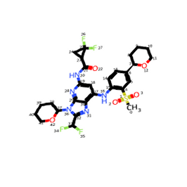 CS(=O)(=O)c1cc([C@H]2CCCCO2)ccc1Nc1cc(NC(=O)C2CC2(F)F)nc2c1nc(C(F)F)n2C1CCCCO1